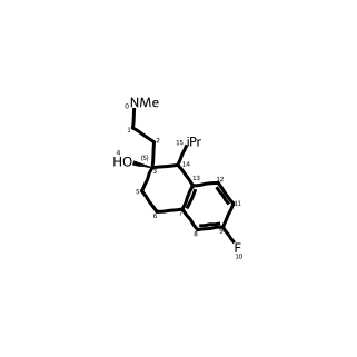 CNCC[C@@]1(O)CCc2cc(F)ccc2C1C(C)C